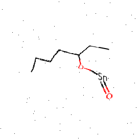 CCCCC(CC)[O][Sn]=[O]